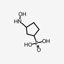 O=P(O)(O)C1CCC(NO)C1